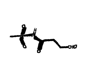 CS(=O)(=O)NC(=O)CCC=O